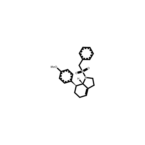 COc1ccc([C@@H]2CCC=C3CCN(S(=O)(=O)Cc4ccccc4)[C@H]32)cc1